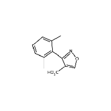 Cc1cccc(C)c1-c1nocc1C(=O)O